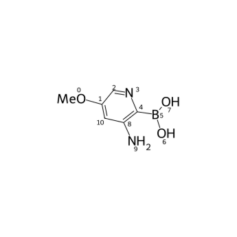 COc1cnc(B(O)O)c(N)c1